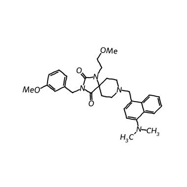 COCCN1C(=O)N(Cc2cccc(OC)c2)C(=O)C12CCN(Cc1ccc(N(C)C)c3ccccc13)CC2